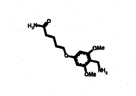 COc1cc(OCCCCC(N)=O)cc(OC)c1CN